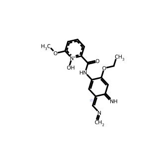 C=N/C=C1/C=C(NC(=O)c2cccc(OC)[n+]2O)C(OCC)=CC1=N